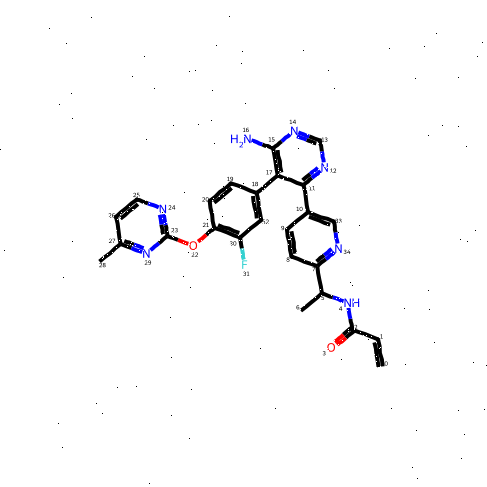 C=CC(=O)NC(C)c1ccc(-c2ncnc(N)c2-c2ccc(Oc3nccc(C)n3)c(F)c2)cn1